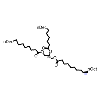 CCCCCCCC/C=C\CCCCCCCC(=O)OC[C@H](COC(=O)CCCCCCCCCCCCCCCCC)OC(=O)CCCCCCCCCCCCCCC